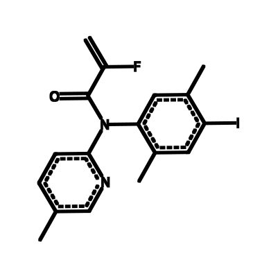 C=C(F)C(=O)N(c1ccc(C)cn1)c1cc(C)c(I)cc1C